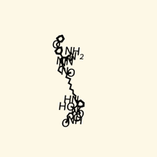 Nc1ncnc2c1c(-c1ccc(Oc3ccccc3)cc1)nn2C1CCCN(C(=O)CCCCCCCCNc2cccc3c2C(O)N(C2CCC(=O)NC2=O)C3=O)C1